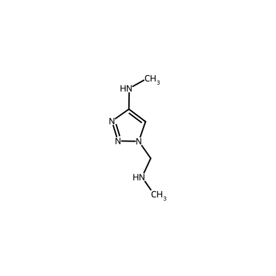 CNCn1cc(NC)nn1